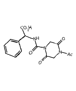 CC(=O)N1CC(=O)N(C(=O)NC(C(=O)O)c2ccccc2)CC1=O